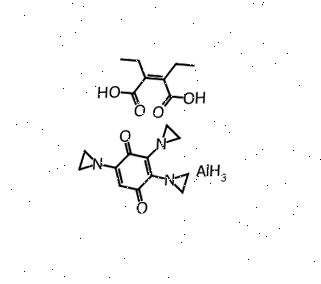 CC/C(C(=O)O)=C(\CC)C(=O)O.O=C1C=C(N2CC2)C(=O)C(N2CC2)=C1N1CC1.[AlH3]